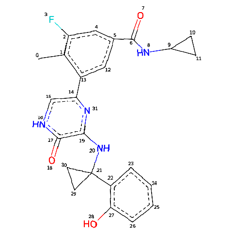 Cc1c(F)cc(C(=O)NC2CC2)cc1-c1c[nH]c(=O)c(NC2(c3ccccc3O)CC2)n1